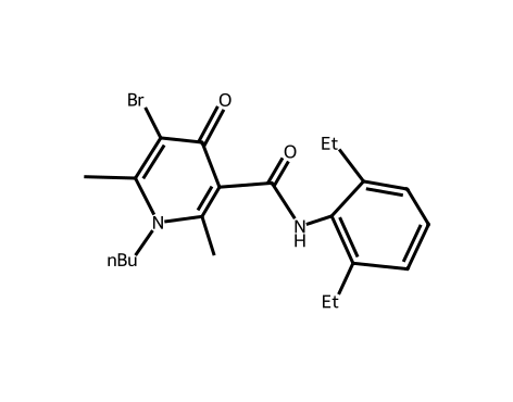 CCCCn1c(C)c(Br)c(=O)c(C(=O)Nc2c(CC)cccc2CC)c1C